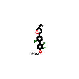 CCCCCCOc1ccc(-c2ccc(C3CCC(CCC)CO3)cc2F)c(F)c1F